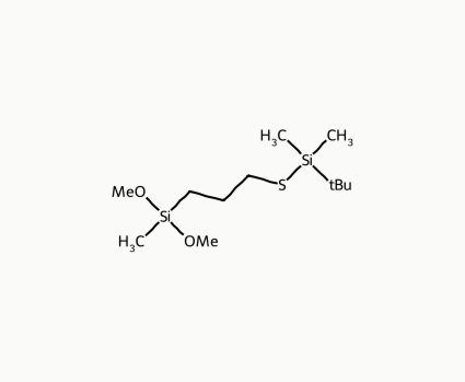 CO[Si](C)(CCCS[Si](C)(C)C(C)(C)C)OC